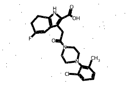 Cc1cccc(Cl)c1N1CCN(C(=O)Cc2c(C(=O)O)[nH]c3c2C=C(F)CC3)CC1